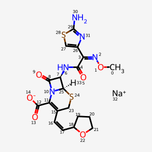 CO/N=C(\C(=O)N[C@@H]1C(=O)N2C(C(=O)[O-])=C(/C=C\C3CCCO3)CS[C@H]12)c1csc(N)n1.[Na+]